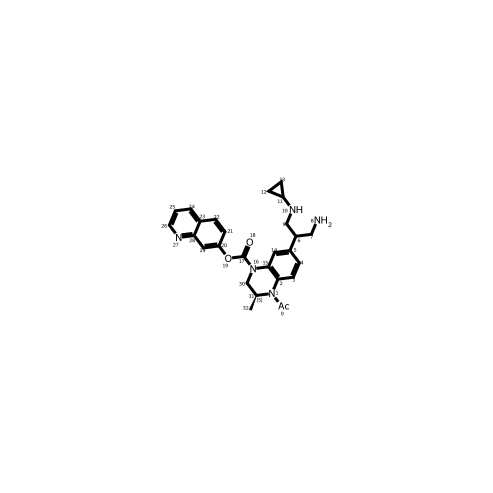 CC(=O)N1c2ccc(C(CN)CNC3CC3)cc2N(C(=O)Oc2ccc3cccnc3c2)C[C@@H]1C